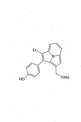 CCc1c(-c2ccc(O)cc2)c2c(COC)cc3cccc1n32